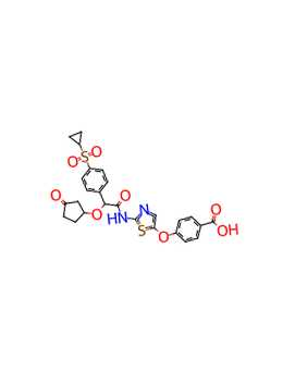 O=C1CCC(OC(C(=O)Nc2ncc(Oc3ccc(C(=O)O)cc3)s2)c2ccc(S(=O)(=O)C3CC3)cc2)C1